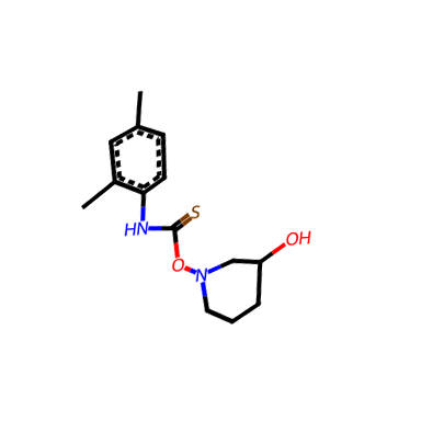 Cc1ccc(NC(=S)ON2CCCC(O)C2)c(C)c1